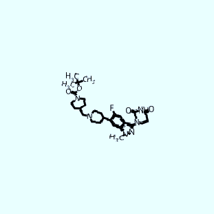 Cn1nc(N2CCC(=O)NC2=O)c2cc(F)c(C3CCN(CC4CCN(C(=O)OC(C)(C)C)CC4)CC3)cc21